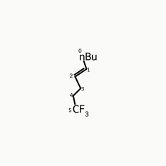 CCCCC=CCCC(F)(F)F